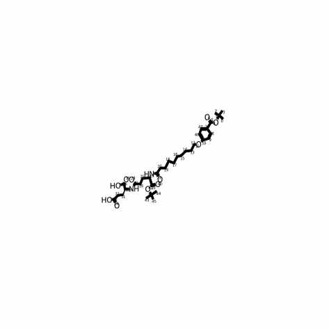 CC(C)(C)OC(=O)c1ccc(OCCCCCCCCCC(=O)NC(CCC(=O)N[C@@H](CCC(=O)O)C(=O)O)C(=O)OC(C)(C)C)cc1